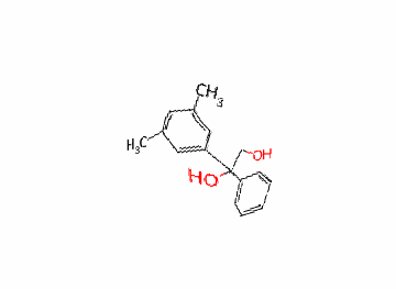 Cc1cc(C)cc(C(O)(CO)c2ccccc2)c1